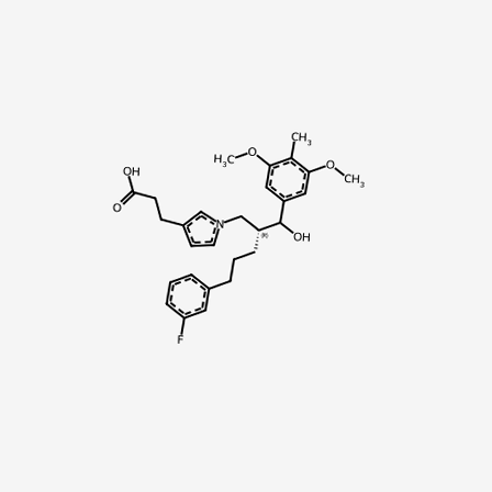 COc1cc(C(O)[C@H](CCCc2cccc(F)c2)Cn2ccc(CCC(=O)O)c2)cc(OC)c1C